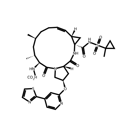 C[C@H]1CCC=C[C@@H]2C[C@@]2(C(=O)NS(=O)(=O)C2(C)CC2)NC(=O)[C@@H]2C[C@@H](Oc3cc(-c4nccs4)ccn3)CN2C(=O)[C@@H](NC(=O)O)[C@H](C)C1